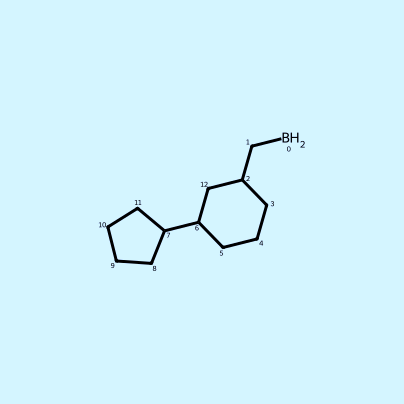 BCC1CCCC(C2CCCC2)C1